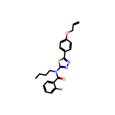 C=CCOc1ccc(-c2nnc(N(CCCC)C(=O)c3ccccc3F)s2)cc1